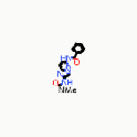 CNC(=O)Nc1cn2nc(NC(=O)c3ccccc3)ccc2n1